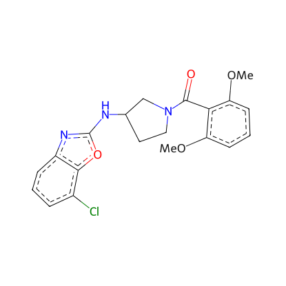 COc1cccc(OC)c1C(=O)N1CCC(Nc2nc3cccc(Cl)c3o2)C1